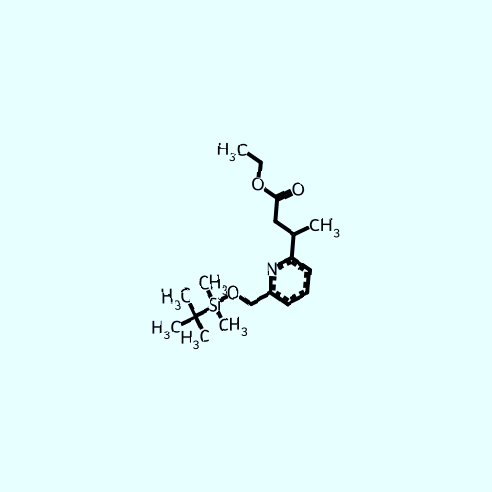 CCOC(=O)CC(C)c1cccc(CO[Si](C)(C)C(C)(C)C)n1